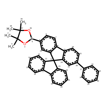 CC1(C)OB(c2ccc3c(c2)C2(c4ccccc4-c4ccccc42)c2cc(-c4ccccc4)ccc2-3)OC1(C)C